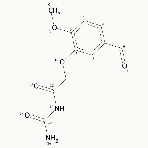 COc1ccc(C=O)cc1OCC(=O)NC(N)=O